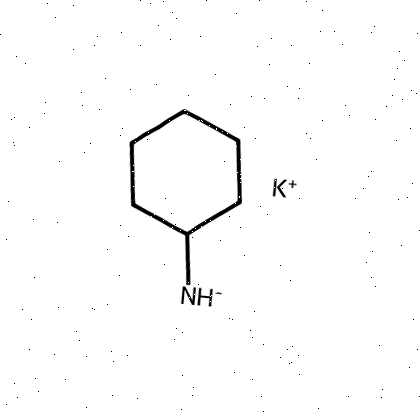 [K+].[NH-]C1CCCCC1